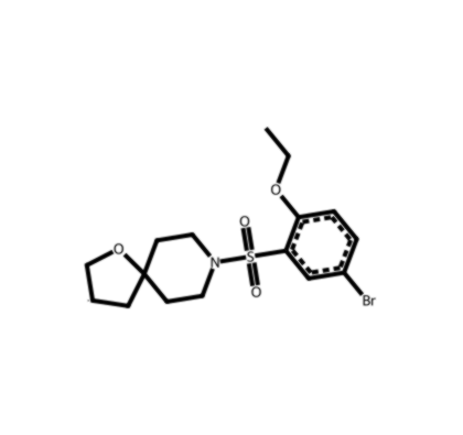 CCOc1ccc(Br)cc1S(=O)(=O)N1CCC2(C[CH]CO2)CC1